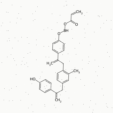 C=CC(=O)OBOc1ccc(C(=C)Cc2ccc(CC(=C)c3ccc(O)cc3)cc2C)cc1